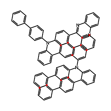 c1ccc(-c2ccc(-c3ccccc3N(c3ccc(-c4ccccc4)cc3)c3ccc(-c4nc5ccccc5nc4-c4ccc(N(c5ccc(-c6ccccc6)cc5)c5ccccc5-c5ccc(-c6ccccc6)cc5)cc4)cc3)cc2)cc1